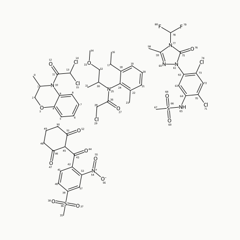 CC1COc2ccccc2N1C(=O)C(Cl)Cl.CCc1cccc(C)c1N(C(=O)CCl)C(C)COC.CS(=O)(=O)c1ccc(C(=O)C2C(=O)CCCC2=O)c([N+](=O)[O-])c1.Cc1nn(-c2cc(NS(C)(=O)=O)c(Cl)cc2Cl)c(=O)n1C(F)F